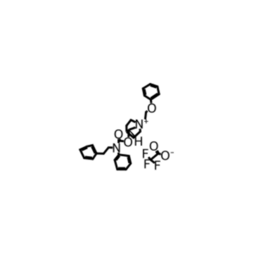 O=C(O[C@H]1C[N+]2(CCOc3ccccc3)CCC1CC2)N(CCc1ccccc1)c1ccccc1.O=C([O-])C(F)(F)F